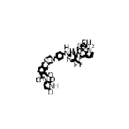 CN(c1ncccc1CNc1nc(Nc2ccc(N3CCN(Cc4ccc5c(c4F)C(=O)N(C4CCC(=O)NC4=O)C5=O)CC3)cc2)ncc1C(F)(F)F)S(C)(=O)=O